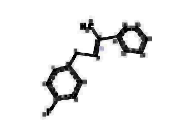 C/C(=C\Cc1ccc(F)cc1)c1ccccc1